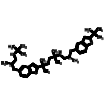 C[C@H](CNC(C)(C)CCC(C)(C)c1cc2cc(O[C@@H](C)CNC(C)(C)C)ccc2o1)Oc1ccc2oc(C(C)(C)C)cc2c1